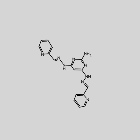 Nc1nc(N/N=C/c2ccccn2)cc(N/N=C/c2ccccn2)n1